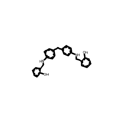 Oc1ccccc1CNc1ccc(Cc2ccc(NCc3ccccc3O)cc2)cc1